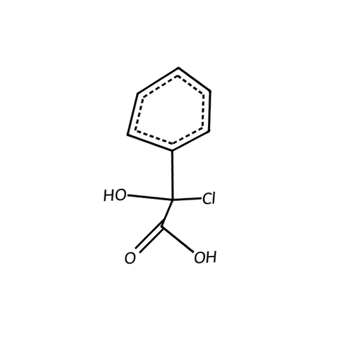 O=C(O)C(O)(Cl)c1ccccc1